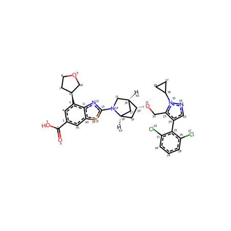 O=C(O)c1cc([C@H]2CCOC2)c2nc(N3C[C@@H]4C[C@H]3C[C@H]4OCc3c(-c4c(Cl)cccc4Cl)cnn3C3CC3)sc2c1